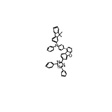 CC1(C)c2ccccc2-c2ccc(N(c3ccccc3)c3ccc(-c4cccc5oc6cc(-c7nc(-c8ccccc8)nc(-c8ccccc8)n7)ccc6c45)cc3)cc21